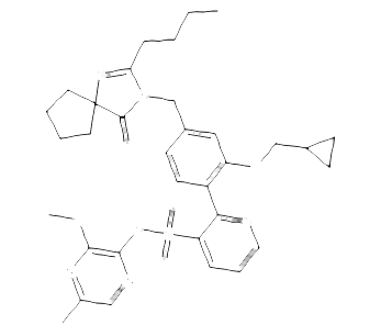 CCCCC1=NC2(CCCC2)C(=O)N1Cc1ccc(-c2ncccc2S(=O)(=O)Nc2ncc(C)nc2OC)c(OCC2CC2)c1